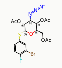 CC(=O)OC[C@H]1O[C@H](Sc2ccc(F)c(Br)c2)[C@H](OC(C)=O)[C@@H](N=[N+]=[N-])[C@H]1OC(C)=O